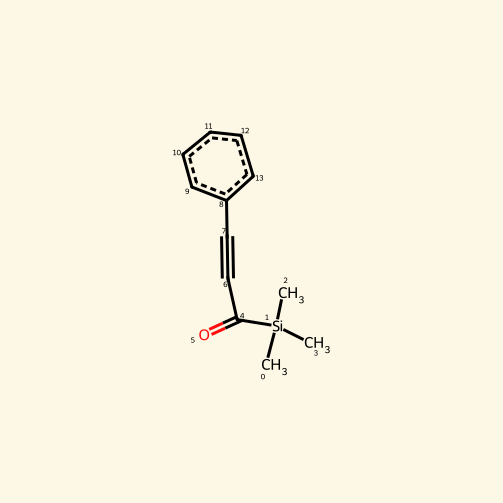 C[Si](C)(C)C(=O)C#Cc1ccccc1